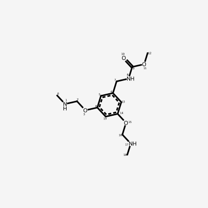 CNCOc1cc(CNC(=O)OC)cc(OCNC)c1